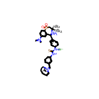 CCCCC1(CCCC)CS(=O)(=O)c2ccc(N(C)C)cc2C(c2ccc(NC(=S)Nc3cccc(C[N+]45CCC(CC4)CC5)c3)cc2)N1.[Br-]